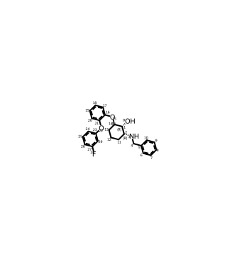 O[C@@H]1[C@H](NCc2ccccc2)CCC[C@H]1Oc1ccccc1Oc1cccc(F)c1